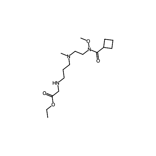 CCOC(=O)CNCCCN(C)CCN(OC)C(=O)C1CCC1